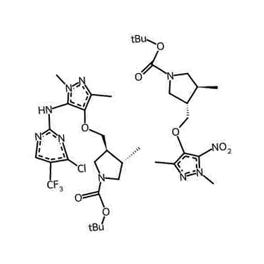 Cc1nn(C)c(Nc2ncc(C(F)(F)F)c(Cl)n2)c1OC[C@@H]1CN(C(=O)OC(C)(C)C)C[C@H]1C.Cc1nn(C)c([N+](=O)[O-])c1OC[C@@H]1CN(C(=O)OC(C)(C)C)C[C@H]1C